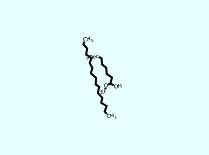 CCCCCCCCCCCCCCCC(O)OCC.CCCCCCCCCCCCCCCCC